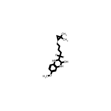 COc1ccc2c(c1)NC(O)C(C(F)(F)CCCC[C@@H]1CC1(C)C)N2